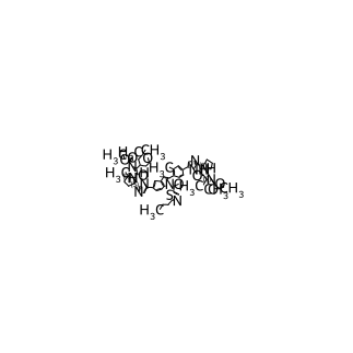 CCCc1ncc(C2Oc3cc(-c4cnc([C@@H]5CCCN5C(=O)[C@@H](NC(=O)OC)C(C)C)[nH]4)cc(C)c3-c3cc4cc(-c5cnc([C@@H]6CC[C@@H](C)N6C(=O)C(NC(=O)OC)C6CCOC(C)(C)C6)[nH]5)ccc4n32)s1